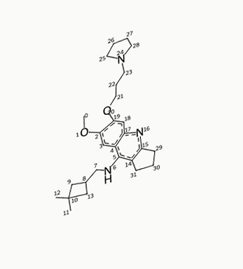 COc1cc2c(NCC3CC(C)(C)C3)c3c(nc2cc1OCCCN1CCCC1)CCC3